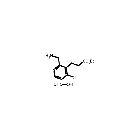 CCOC(=O)CCc1c(Cl)ccnc1CN.O=CO